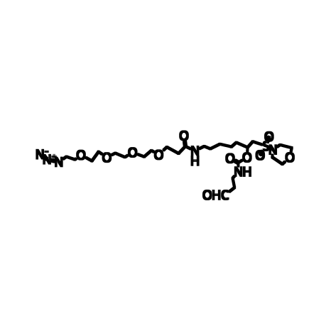 [N-]=[N+]=NCCOCCOCCOCCOCCC(=O)NCCCCCC(CS(=O)(=O)N1CCOCC1)OC(=O)NCCC=O